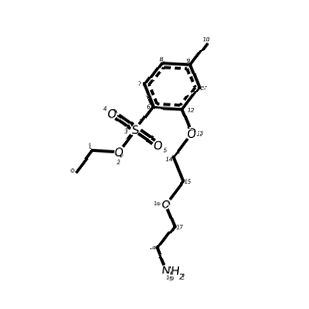 CCOS(=O)(=O)c1ccc(C)cc1OCCOCCN